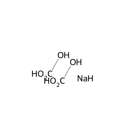 O=C(O)O.O=C(O)O.[NaH]